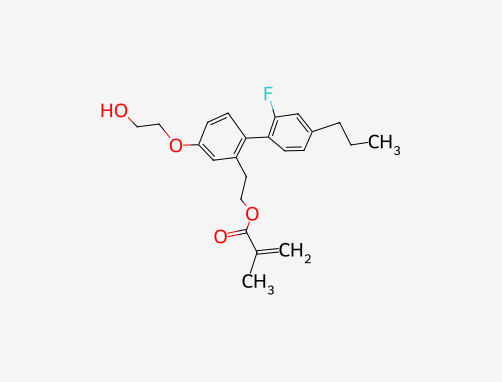 C=C(C)C(=O)OCCc1cc(OCCO)ccc1-c1ccc(CCC)cc1F